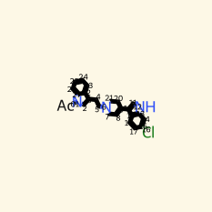 CC(=O)N1CC(CCN2CC=C(c3c[nH]c4cc(Cl)ccc34)CC2)c2ccccc21